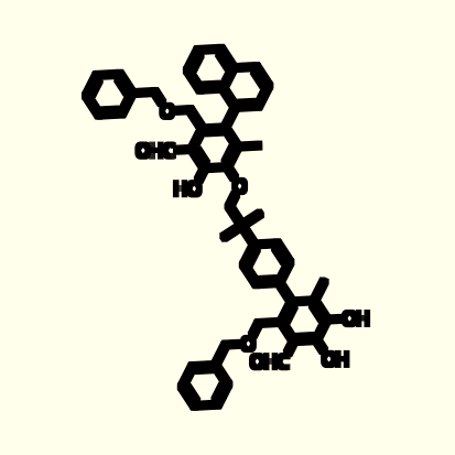 Cc1c(O)c(O)c(C=O)c(COCc2ccccc2)c1-c1ccc(C(C)(C)COc2c(C)c(-c3cccc4ccccc34)c(COCc3ccccc3)c(C=O)c2O)cc1